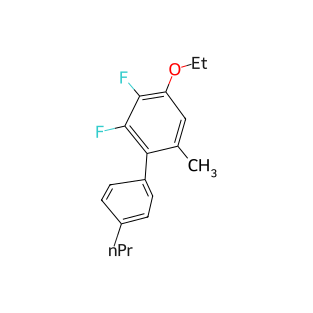 CCCc1ccc(-c2c(C)cc(OCC)c(F)c2F)cc1